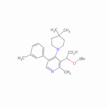 Cc1cccc(-c2cnc(C)c(C(OC(C)(C)C)C(=O)O)c2N2CCC(C)(C)CC2)c1